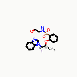 C[C@@H](Oc1ccccc1S(=O)(=O)NCC=O)[C@H](I)n1cnc2ccccc21